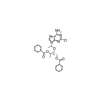 CC(OC(=O)c1ccccc1)[C@@H](COC(=O)c1ccccc1)OC(C)n1cnc2c(N)nc(Cl)nc21